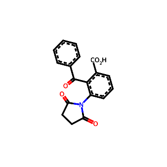 O=C(O)c1cccc(N2C(=O)CCC2=O)c1C(=O)c1ccccc1